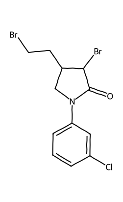 O=C1C(Br)C(CCBr)CN1c1cccc(Cl)c1